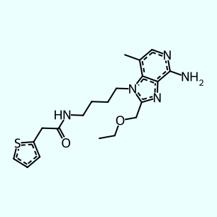 CCOCc1nc2c(N)ncc(C)c2n1CCCCNC(=O)Cc1cccs1